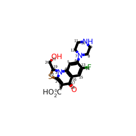 O=C(O)c1c2n(c3cc(N4CCNCC4)c(F)cc3c1=O)C(CO)S2